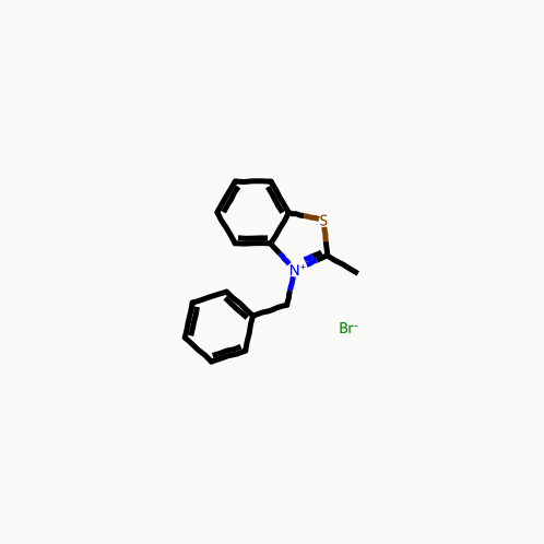 Cc1sc2ccccc2[n+]1Cc1ccccc1.[Br-]